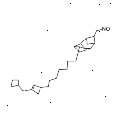 O=NCC1C2CC1C1C3CC2C1C3CCCCCCCC1C=C(CC2CCC2)C1